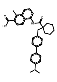 Cc1c(C(=O)O)ccc2c(NC(=O)C3(Cc4ccc(-c5ccc(N(C)C)cc5)cc4)CCCCC3)cccc12